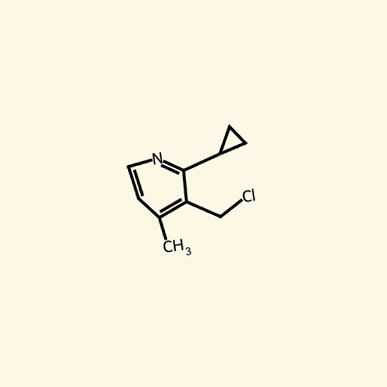 Cc1ccnc(C2CC2)c1CCl